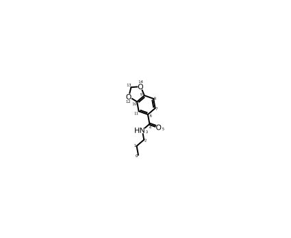 CCCNC(=O)c1ccc2c(c1)OCO2